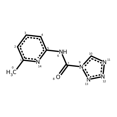 Cc1cccc(NC(=O)n2cnnn2)n1